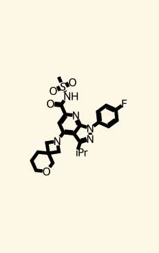 CC(C)c1nn(-c2ccc(F)cc2)c2nc(C(=O)NS(C)(=O)=O)cc(N3CC4(CCCOC4)C3)c12